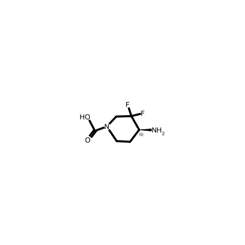 N[C@H]1CCN(C(=O)O)CC1(F)F